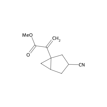 C=C(C(=O)OC)C12CC(C#N)CC1C2